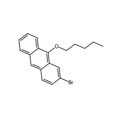 CCCCCOc1c2ccccc2cc2ccc(Br)cc12